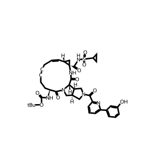 CC(C)(C)OC(=O)N[C@H]1CCCCC/C=C\[C@@H]2C[C@@]2(C(=O)NS(=O)(=O)C2CC2)NC(=O)[C@@H]2[C@H]3CN(C(=O)c4cccc(-c5cccc(O)c5)n4)C[C@H]3CN2C1=O